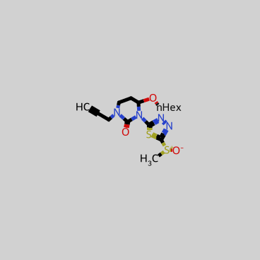 C#CCN1CCC(OCCCCCC)N(c2nnc([S+](C)[O-])s2)C1=O